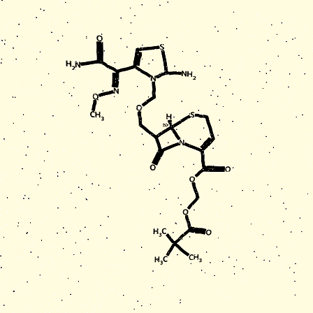 CON=C(C(N)=O)C1=CSC(N)N1COCC1C(=O)N2C(C(=O)OCOC(=O)C(C)(C)C)=CCS[C@@H]12